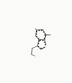 N[C@@H](Cc1c[nH]c2c(F)cc(O)cc12)C(=O)O